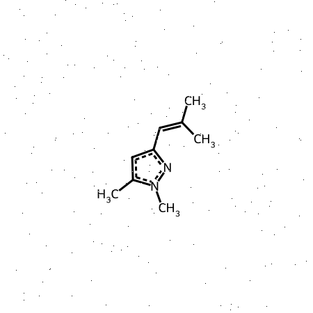 CC(C)=Cc1cc(C)n(C)n1